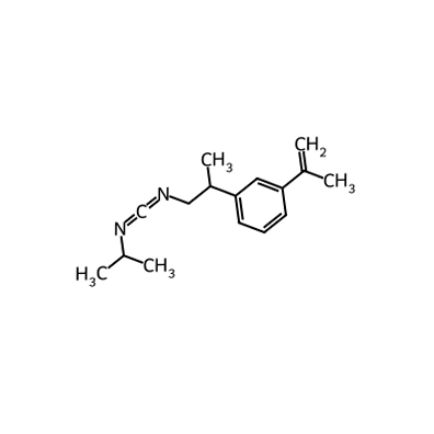 C=C(C)c1cccc(C(C)CN=C=NC(C)C)c1